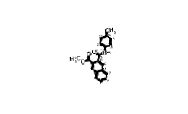 COC(=O)c1cc2ccccc2cc1C(=O)Nc1ccc(C)cc1